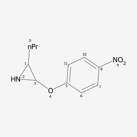 CCCC1NC1Oc1ccc([N+](=O)[O-])cc1